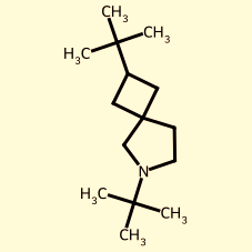 CC(C)(C)C1CC2(CCN(C(C)(C)C)C2)C1